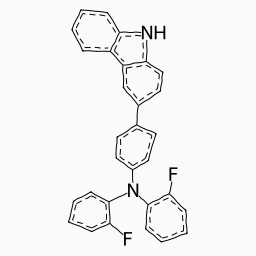 Fc1ccccc1N(c1ccc(-c2ccc3[nH]c4ccccc4c3c2)cc1)c1ccccc1F